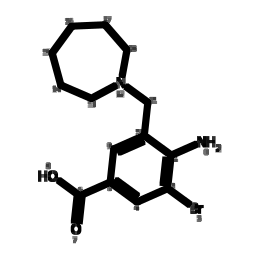 Nc1c(Br)cc(C(=O)O)cc1CN1CCCCCC1